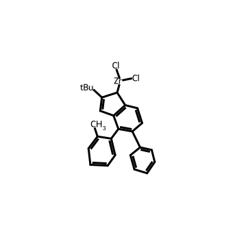 Cc1ccccc1-c1c(-c2ccccc2)ccc2c1C=C(C(C)(C)C)[CH]2[Zr]([Cl])[Cl]